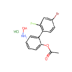 CC(=O)Oc1ccccc1-c1ccc(Br)cc1F.Cl.NO